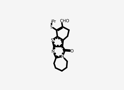 CC(C)SC1=C(C=O)CCc2c1sc1nc3n(c(=O)c21)CCCCC3